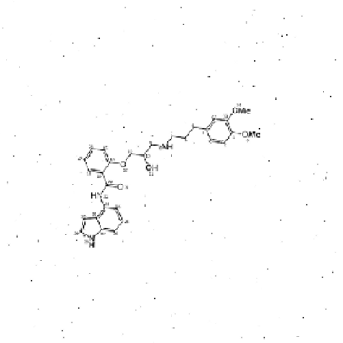 COc1ccc(CCCNCC(O)COc2ccccc2C(=O)Nc2cccc3[nH]ccc23)cc1OC